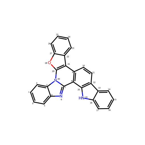 c1ccc2c(c1)nc1c3c(ccc4c5ccccc5[nH]c43)c3c4ccccc4oc3n21